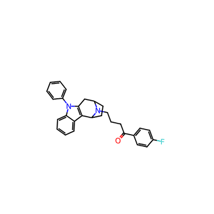 O=C(CCCN1C2CCC1c1c(n(-c3ccccc3)c3ccccc13)C2)c1ccc(F)cc1